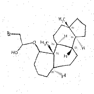 C[C@@]12CCC[C@H]1[C@@H]1CC[C@H]3CCCC(OC(O)CBr)[C@]3(C)[C@H]1CC2